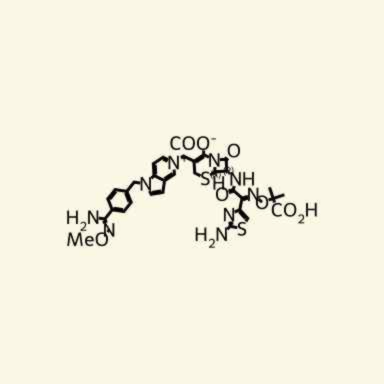 CON=C(N)c1ccc(Cn2ccc3c[n+](CC4=C(C(=O)[O-])N5C(=O)[C@@H](NC(=O)C(=NOC(C)(C)C(=O)O)c6csc(N)n6)[C@H]5SC4)ccc32)cc1